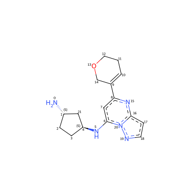 N[C@H]1CC[C@H](Nc2cc(C3=CCCOC3)nc3ccnn23)C1